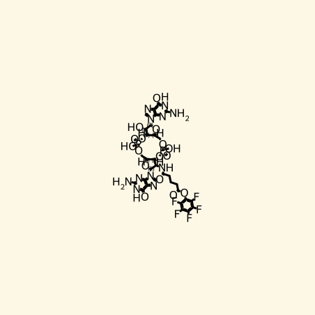 Nc1nc2c(ncn2[C@@H]2O[C@@H]3COP(=O)(O)O[C@@H]4[C@H](O)[C@H](n5cnc6c(=O)[nH]c(N)nc65)O[C@@H]4COP(=O)(O)O[C@@H]3C2NC(=O)CCCC(=O)Oc2c(F)c(F)c(F)c(F)c2F)c(=O)[nH]1